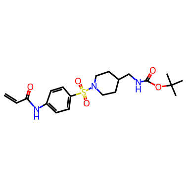 C=CC(=O)Nc1ccc(S(=O)(=O)N2CCC(CNC(=O)OC(C)(C)C)CC2)cc1